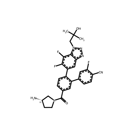 CC(C)(O)Cn1nnc2cc(-c3ccc(C(=O)N4CC[C@H](N)C4)cc3-c3ccc(C#N)c(F)c3)c(F)c(F)c21